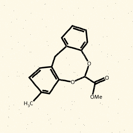 COC(=O)C1Oc2ccccc2Cc2ccc(C)cc2O1